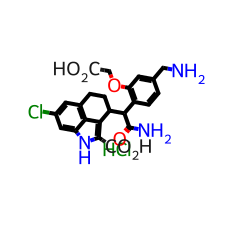 Cl.NCc1ccc(C(C(N)=O)C2CCc3cc(Cl)cc4[nH]c(C(=O)O)c2c34)c(OCC(=O)O)c1